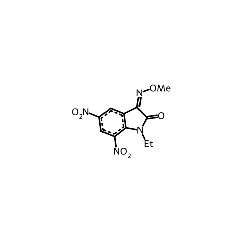 CCN1C(=O)/C(=N\OC)c2cc([N+](=O)[O-])cc([N+](=O)[O-])c21